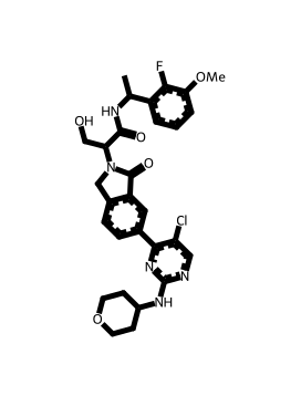 COc1cccc(C(C)NC(=O)C(CO)N2Cc3ccc(-c4nc(NC5CCOCC5)ncc4Cl)cc3C2=O)c1F